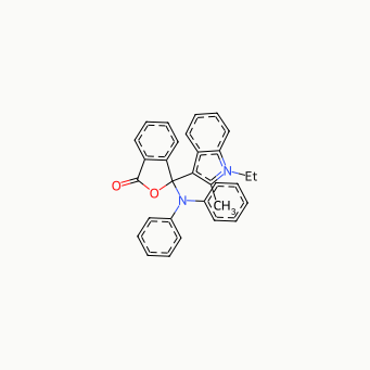 CCn1c(C)c(C2(N(c3ccccc3)c3ccccc3)OC(=O)c3ccccc32)c2ccccc21